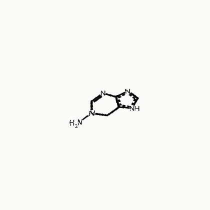 NN1C=Nc2nc[nH]c2C1